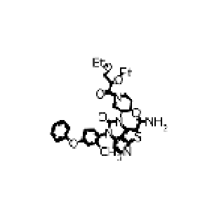 CCOCC(OCC)C(=O)N1CCC[C@@H](N2C(=O)N(c3ccc(Oc4ccccc4)cc3C)c3ccnc4sc(C(N)=O)c2c34)C1